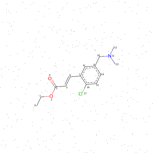 CCOC(=O)/C=C/c1cc(CN(C)C)ccc1Cl